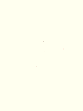 CCNC(=O)[C@H](C)c1ccccc1NC(=O)O